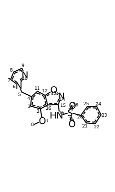 COc1cc(Cn2cccn2)cc2onc(NS(=O)(=O)c3ccccc3)c12